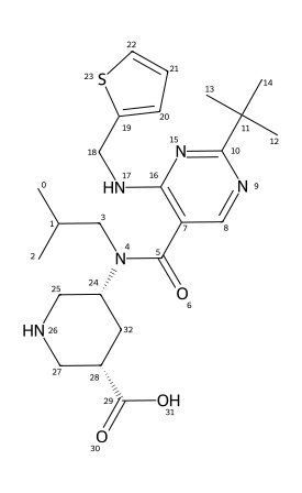 CC(C)CN(C(=O)c1cnc(C(C)(C)C)nc1NCc1cccs1)[C@H]1CNC[C@@H](C(=O)O)C1